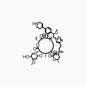 CC[C@H]1OC(=O)[C@H](C)[C@@H](O[C@H]2C[C@@](C)(OC)[C@@H](O)[C@H](C)O2)[C@H](C)[C@@H](O[C@@H]2O[C@H](C)C[C@H](N(C)CCc3cn([C@H](CF)[C@H](OC)c4ccc(C5=CCNCC5)cc4)nn3)[C@H]2O)[C@](C)(O)C[C@@H](C)CN(C)[C@H](C)[C@@H](O)[C@]1(C)O